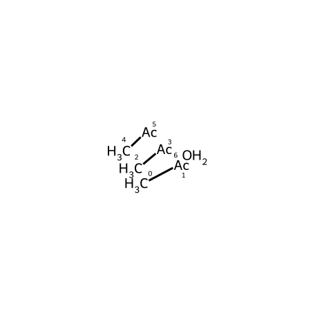 CC(C)=O.CC(C)=O.CC(C)=O.O